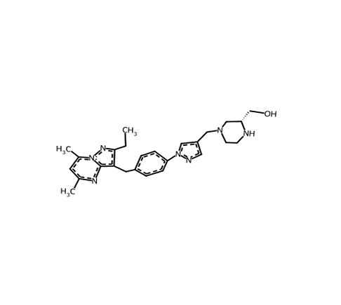 CCc1nn2c(C)cc(C)nc2c1Cc1ccc(-n2cc(CN3CCN[C@@H](CO)C3)cn2)cc1